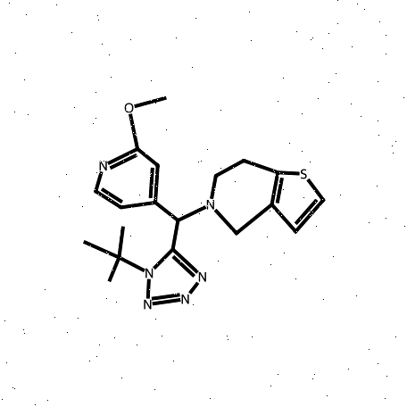 COc1cc(C(c2nnnn2C(C)(C)C)N2CCc3sccc3C2)ccn1